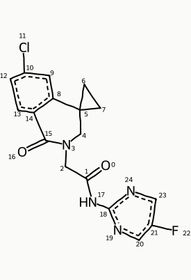 O=C(CN1CC2(CC2)c2cc(Cl)ccc2C1=O)Nc1ncc(F)cn1